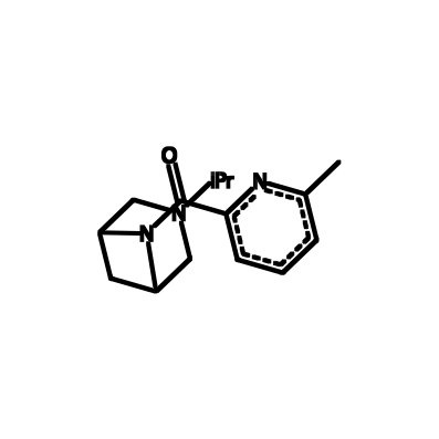 Cc1cccc(C(=O)N2C3CC2CN(C(C)C)C3)n1